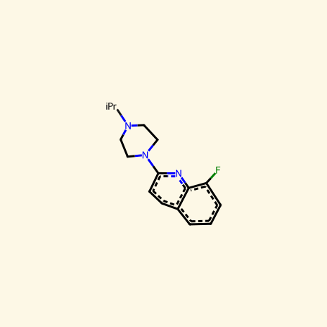 CC(C)N1CCN(c2ccc3cccc(F)c3n2)CC1